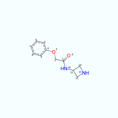 O=C(COc1ccccc1)NC1CNC1